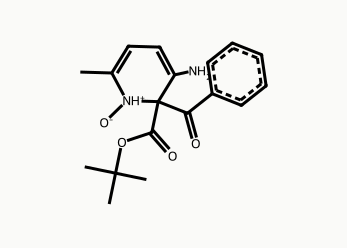 CC1=CC=C(N)C(C(=O)OC(C)(C)C)(C(=O)c2ccccc2)[NH+]1[O-]